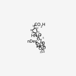 CCCCCCCCCCO[C@H]1[C@@H]([C@@H](C)OC(=O)Nc2ccc(CC(=O)O)cc2)OC2OC(C)(C)O[C@@H]21